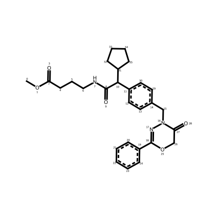 COC(=O)CCCNC(=O)C(c1ccc(CN2N=C(c3ccccc3)OCC2=O)cc1)C1CCCC1